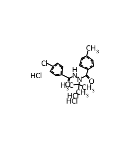 Cc1ccc(C(=O)N(NC(=O)c2ccc(Cl)cc2)C(C)(C)C)cc1.Cl.Cl.Cl